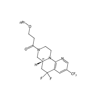 CCCOCCC(=O)N1CCN2c3ncc(C(F)(F)F)cc3C(F)(F)C[C@@H]2C1